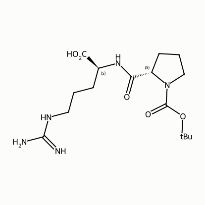 CC(C)(C)OC(=O)N1CCC[C@H]1C(=O)N[C@@H](CCCNC(=N)N)C(=O)O